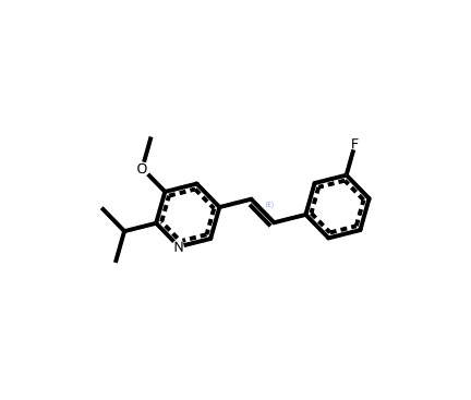 COc1cc(/C=C/c2cccc(F)c2)cnc1C(C)C